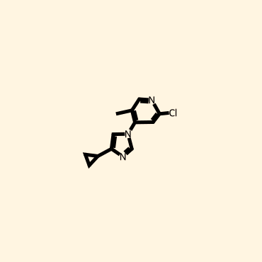 Cc1cnc(Cl)cc1-n1cnc(C2CC2)c1